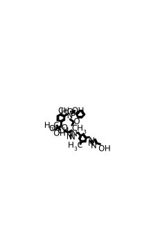 CCC1CN(Cc2cc(C(OCc3cn(Cc4cc(C)cc(Cn5cc(CO)nn5)c4)nn3)C(C)(C)C(=O)O)ccc2C)S(O)(O)c2ccccc2O1